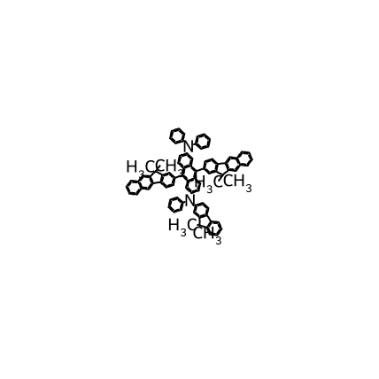 CC1(C)c2ccccc2-c2ccc(N(c3ccccc3)c3ccc4c(-c5ccc6c(c5)C(C)(C)c5cc7ccccc7cc5-6)c5cc(N(c6ccccc6)c6ccccc6)ccc5c(-c5ccc6c(c5)C(C)(C)c5cc7ccccc7cc5-6)c4c3)cc21